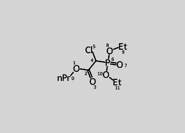 CCCOC(=O)C(Cl)P(=O)(OCC)OCC